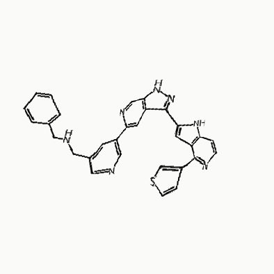 c1ccc(CNCc2cncc(-c3cc4c(-c5cc6c(-c7ccsc7)nccc6[nH]5)n[nH]c4cn3)c2)cc1